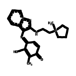 CC1=C(O)/C(=N/c2c(NCC[N+]3(C)CCCC3)nn3ccccc23)C=CC1=O